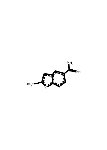 N=C(N)c1ccc2oc(C(=O)O)cc2c1